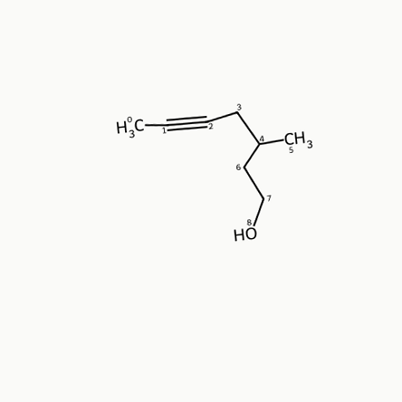 CC#CCC(C)CCO